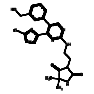 CC1(C)NC(=O)N(CCNc2ncc(-c3cccc(CO)c3)c(-c3ccc(Cl)s3)n2)C1=O